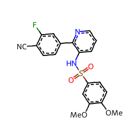 COc1ccc(S(=O)(=O)Nc2cccnc2-c2ccc(C#N)c(F)c2)cc1OC